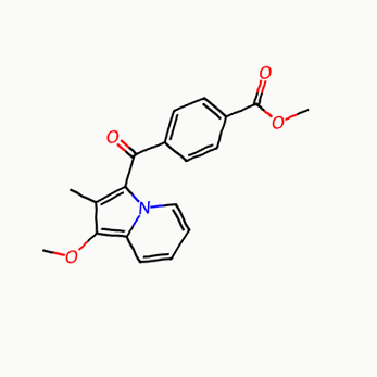 COC(=O)c1ccc(C(=O)c2c(C)c(OC)c3ccccn23)cc1